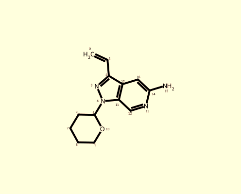 C=Cc1nn(C2CCCCO2)c2cnc(N)cc12